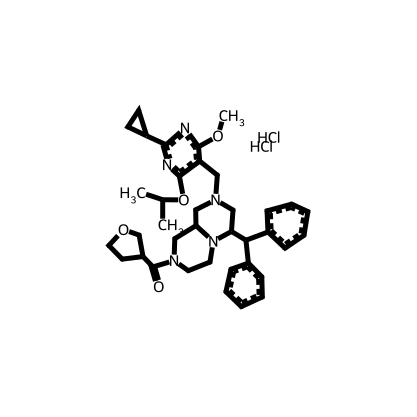 COc1nc(C2CC2)nc(OC(C)C)c1CN1CC2CN(C(=O)C3CCOC3)CCN2C(C(c2ccccc2)c2ccccc2)C1.Cl.Cl